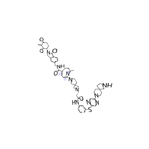 C=C1C(=O)CCC(N2Cc3cc(CNC(=O)/C4=C/C=C(N5CCC6(CN(CCC(=O)Nc7cccc(Sc8cnc(N9CCC%10(CCNC%10)CC9)cn8)c7)C6)C5)\N=C(/C)CC4)ccc3C2=O)C1=O